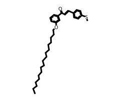 CCCCCCCCCCCCCCCCCCOc1cccc(C(=O)/C=C/c2ccc(SC)cc2)c1